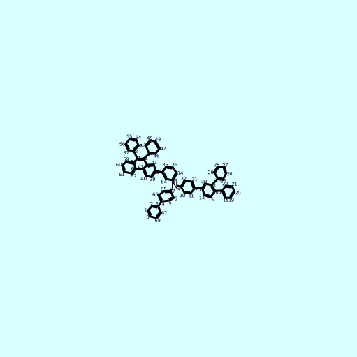 c1ccc(-c2ccc(N(c3ccc(-c4ccc(-c5ccccc5)c(-c5ccccc5)c4)cc3)c3cccc(-c4ccc5c(c4)c(-c4ccccc4)c(-c4ccccc4)c4ccccc45)c3)cc2)cc1